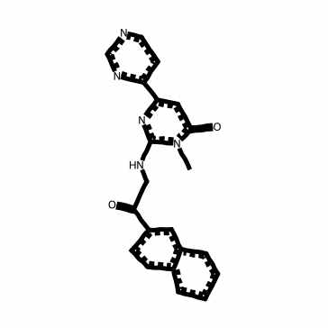 Cn1c(NCC(=O)c2ccc3ccccc3c2)nc(-c2ccncn2)cc1=O